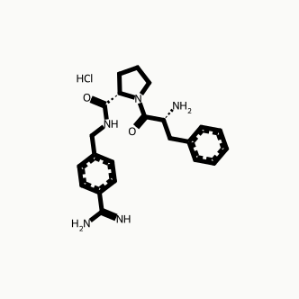 Cl.N=C(N)c1ccc(CNC(=O)[C@@H]2CCCN2C(=O)[C@H](N)Cc2ccccc2)cc1